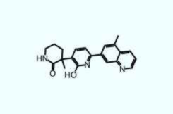 Cc1cc(-c2ccc(C3(C)CCCNC3=O)c(O)n2)cc2ncccc12